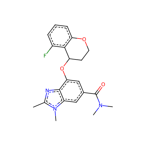 Cc1nc2c(OC3CCOc4cccc(F)c43)cc(C(=O)N(C)C)cc2n1C